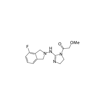 COCC(=O)N1CCN=C1NN1Cc2cccc(F)c2C1